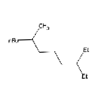 [CH2]CC(CC)CCCC(C)CCCC